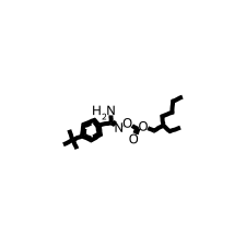 CCCCC(CC)COC(=O)O/N=C(\N)c1ccc(C(C)(C)C)cc1